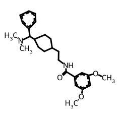 COc1cc(OC)cc(C(=O)NCCC2CCC(C(c3ccccc3)N(C)C)CC2)c1